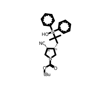 CC(C)(C)OC(=O)N1C[C@@H](CC(C)(C)[Si](O)(c2ccccc2)c2ccccc2)[C@@H](C#N)C1